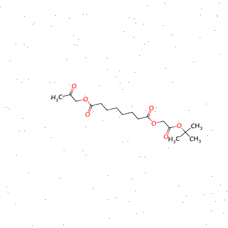 CC(=O)COC(=O)CCCCCCC(=O)OCC(=O)OC(C)(C)C